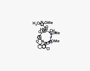 COc1nn(C)cc1C(=O)NS1(=O)=NC(=O)c2ccc3c(n2)N(C[C@@H]2CC[C@H]2[C@@H](OC)/C=C/[C@H](OC)[C@H](C)C1)C[C@@]1(CCCc2cc(Cl)ccc21)CO3